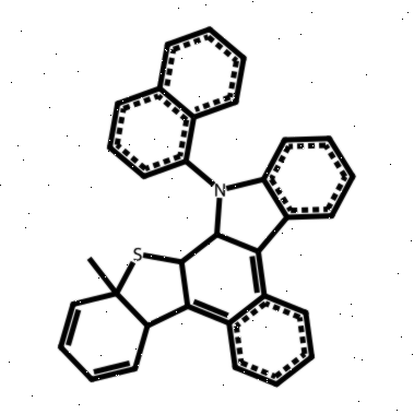 CC12C=CC=CC1C1=c3ccccc3=C3c4ccccc4N(c4cccc5ccccc45)C3C1S2